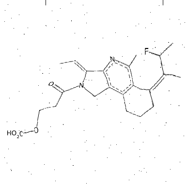 C/C=C1/c2nc(C)c3c(c2CN1C(=O)CCOC(=O)O)CCC/C3=C(\C)C(C)F